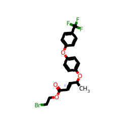 CC(/C=C/C(=O)OCCBr)Oc1ccc(Oc2ccc(C(F)(F)F)cc2)cc1